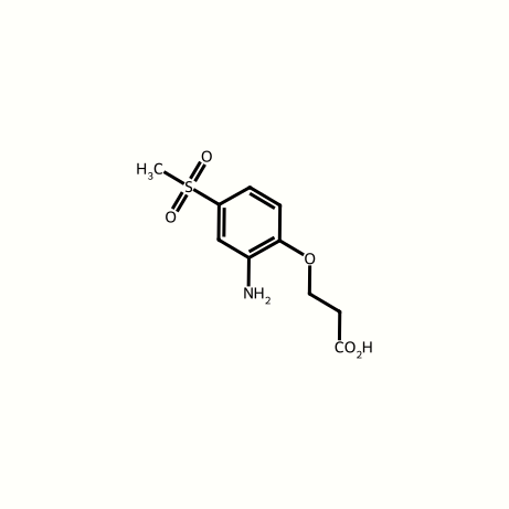 CS(=O)(=O)c1ccc(OCCC(=O)O)c(N)c1